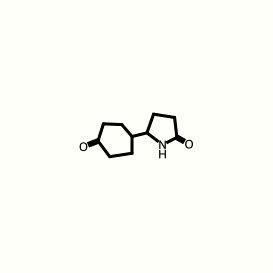 O=C1CCC(C2CCC(=O)N2)CC1